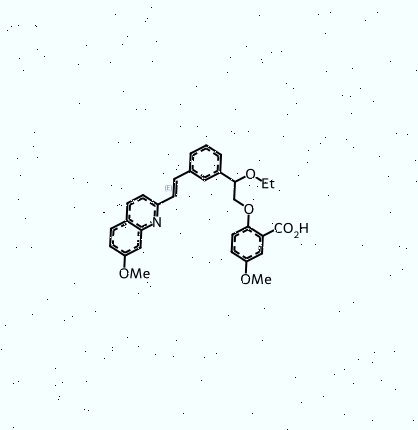 CCOC(COc1ccc(OC)cc1C(=O)O)c1cccc(/C=C/c2ccc3ccc(OC)cc3n2)c1